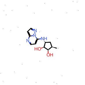 [CH2][C@@H]1C[C@@H](Nc2ccnc3ccnn23)[C@H](O)[C@@H]1O